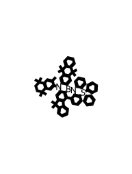 Cc1cc2c(cc1N1c3cc4c(cc3B3c5c1cc1c(c5-c5cccc6c5N3c3ccccc3S6(c3ccccc3)c3ccccc3)-c3ccccc3C1(C)C)C(C)(C)c1ccccc1C4(C)C)C(C)(C)CCC2(C)C